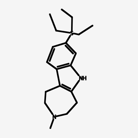 CCS(CC)(CC)c1ccc2c3c([nH]c2c1)CCN(C)CC3